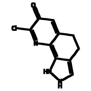 O=C1C=C2CCC3=CNNC3=C2N=C1Cl